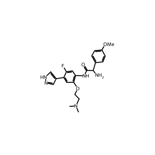 COc1ccc(C(N)C(=O)Nc2cc(F)c(-c3cn[nH]c3)cc2OCCN(C)C)cc1